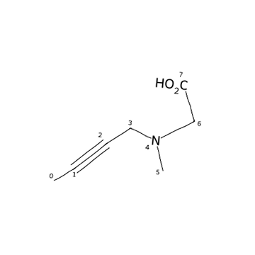 CC#CCN(C)CC(=O)O